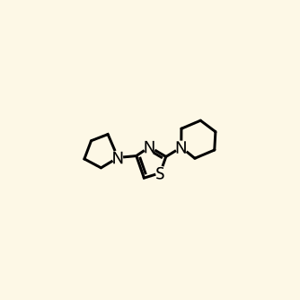 c1sc(N2CCCCC2)nc1N1CCCC1